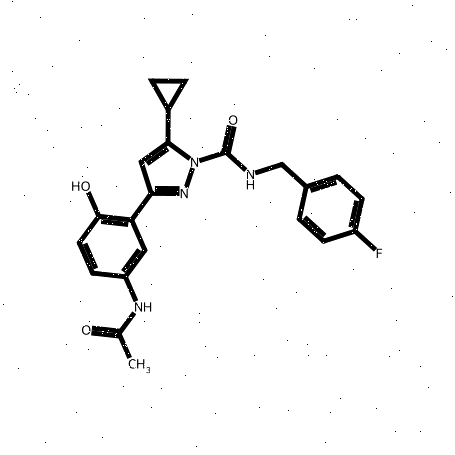 CC(=O)Nc1ccc(O)c(-c2cc(C3CC3)n(C(=O)NCc3ccc(F)cc3)n2)c1